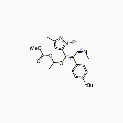 CCn1nc(C)cc1/C(OC(C)OC(=O)OC)=C(\C=N/C)c1ccc(C(C)(C)C)cc1